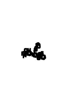 C[C@](O)(c1ccc(N2CCN(S(=O)(=O)C3=CC=CCC3=S)C[C@@H]2COCc2ccco2)cc1)C(F)(F)F